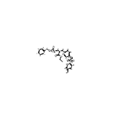 CCOC(=O)C(CNC(=O)OCc1ccccc1)Cc1ccc(OS(=O)(=O)c2ccc(C)cc2)cc1